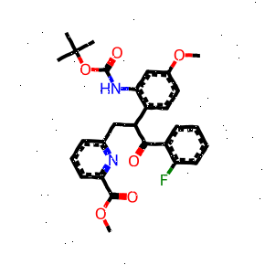 COC(=O)c1cccc(CC(C(=O)c2ccccc2F)c2ccc(OC)cc2NC(=O)OC(C)(C)C)n1